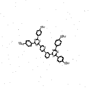 CC(C)(C)c1ccc(-c2nc(-c3ccc(C(C)(C)C)cc3)nc(-c3ccc(-c4cccc(-c5nc(-c6ccc(C(C)(C)C)cc6)nc(-c6ccc(C(C)(C)C)cc6)n5)c4)nc3)n2)cc1